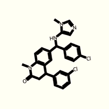 CN1C(=O)CC(c2cccc(Cl)c2)c2cc(C(Nc3cncn3C)c3ccc(Cl)cc3)ccc21